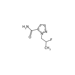 CC(F)Cn1nccc1C(N)=O